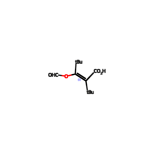 CC(C)(C)/C(OC=O)=C(\C(=O)O)C(C)(C)C